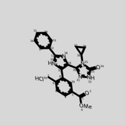 COC(=O)c1ccc(C)c(-c2[nH]c(-c3ccccc3)nc2-c2n[nH]c(=O)n2C2CC2)c1.Cl